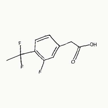 CC(F)(F)c1ccc(CC(=O)O)cc1F